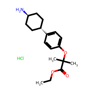 CCOC(=O)C(C)(C)Oc1ccc([C@H]2CC[C@H](N)CC2)cc1.Cl